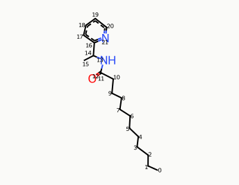 CCCCCCCCCCCC(=O)NC(C)c1ccccn1